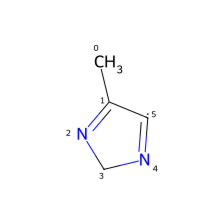 CC1=NCN=[C]1